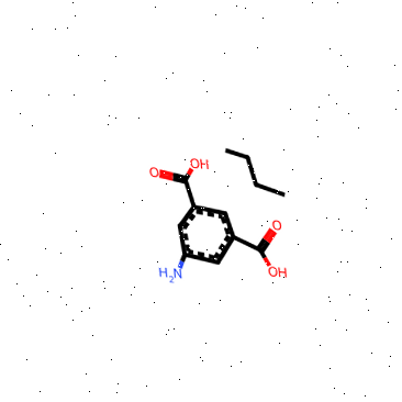 CCCC.Nc1cc(C(=O)O)cc(C(=O)O)c1